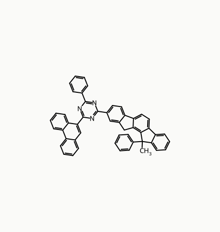 CC1(c2ccccc2)c2ccccc2-c2ccc3c(c21)Cc1cc(-c2nc(-c4ccccc4)nc(-c4cc5ccccc5c5ccccc45)n2)ccc1-3